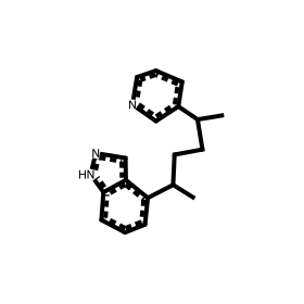 CC(CCC(C)c1cccc2[nH]ncc12)c1cccnc1